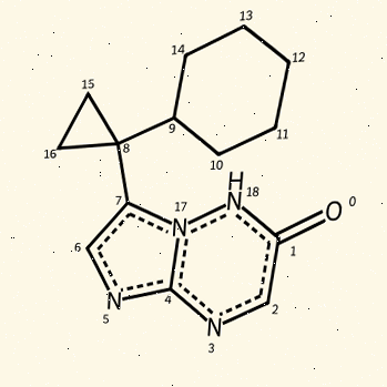 O=c1cnc2ncc(C3(C4CCCCC4)CC3)n2[nH]1